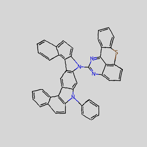 c1ccc(-n2c3cc4c(cc3c3c5ccccc5ccc32)c2c3ccccc3ccc2n4-c2nc3c4c(cccc4n2)Sc2ccccc2-3)cc1